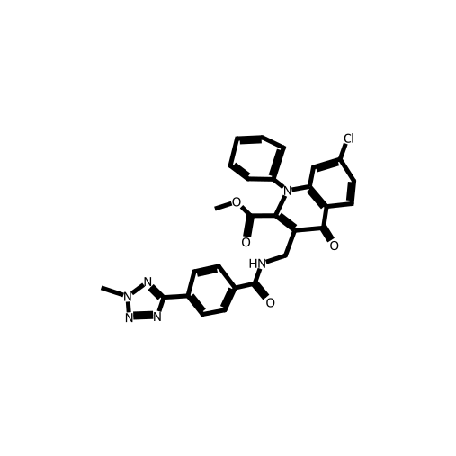 COC(=O)c1c(CNC(=O)c2ccc(-c3nnn(C)n3)cc2)c(=O)c2ccc(Cl)cc2n1-c1ccccc1